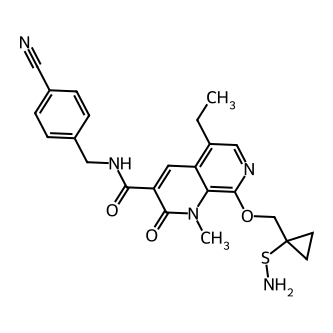 CCc1cnc(OCC2(SN)CC2)c2c1cc(C(=O)NCc1ccc(C#N)cc1)c(=O)n2C